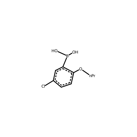 CCCOc1ccc(Cl)cc1B(O)O